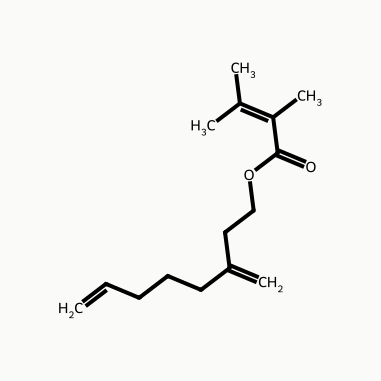 C=CCCCC(=C)CCOC(=O)C(C)=C(C)C